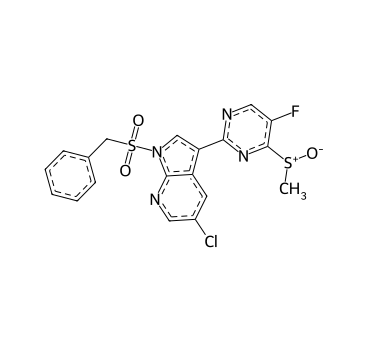 C[S+]([O-])c1nc(-c2cn(S(=O)(=O)Cc3ccccc3)c3ncc(Cl)cc23)ncc1F